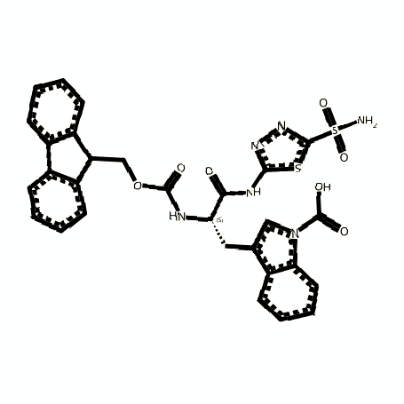 NS(=O)(=O)c1nnc(NC(=O)[C@H](Cc2cn(C(=O)O)c3ccccc23)NC(=O)OCC2c3ccccc3-c3ccccc32)s1